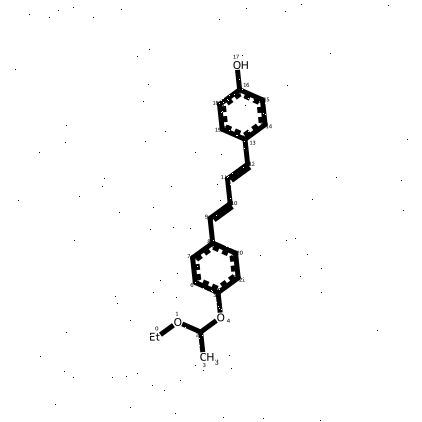 CCOC(C)Oc1ccc(C=CC=Cc2ccc(O)cc2)cc1